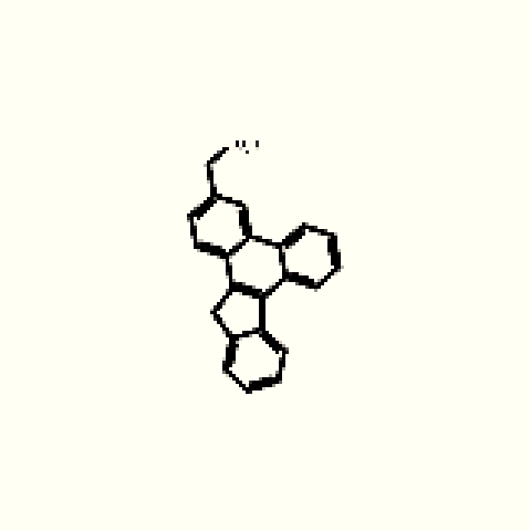 O=C(O)Cc1ccc2c3c(c4ccccc4c2c1)-c1ccccc1C3